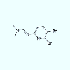 CN(C)/C=N/c1ccc(Br)c(Br)n1